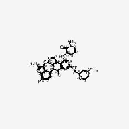 CN1CCO[C@@H](COc2nc(N[C@@H]3CCCN(C)C3=O)c3c4c(c(-c5ccc(F)c6sc(N)c(C#N)c56)c(Cl)c3n2)COC4)C1